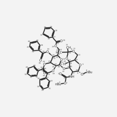 CCCCOC(=O)NC1[C@@H](OCCCC)OC2COC(C)(C)O[C@H]2[C@@H]1O[C@@H]1OC(COC(=O)c2ccccc2)[C@H](OC(=O)c2ccccc2)C(OC(=O)c2ccccc2)[C@@H]1OC(=O)c1ccccc1